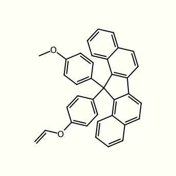 C=COc1ccc(C2(c3ccc(OC)cc3)c3c(ccc4ccccc34)-c3ccc4ccccc4c32)cc1